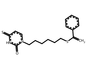 C=C(SCCCCCCn1ccc(=S)[nH]c1=O)c1ccccc1